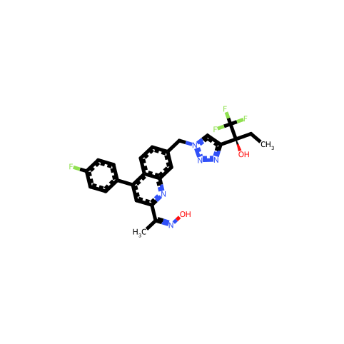 CC[C@](O)(c1cn(Cc2ccc3c(-c4ccc(F)cc4)cc(/C(C)=N\O)nc3c2)nn1)C(F)(F)F